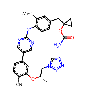 COc1cc(CC2(OC(N)=O)CC2)ccc1Nc1ncc(-c2ccc(C#N)c(O[C@@H](C)Cn3cnnn3)c2)cn1